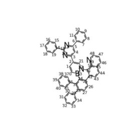 C1=CC(c2cc(-c3ccccc3)nc(-c3ccccc3)n2)=CN2B1c1c(ccc(-c3ccccc3)c1-c1ccccc1)-c1ccc3cccnc3c12